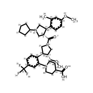 COC[C@H]1CN(C(=O)[C@@H]2CN(C3CCCC3)C[C@H]2c2ccc(OC)cc2C)C[C@@H]1c1ccc(C(F)(F)F)cc1N1CCC(C(=O)O)CC1